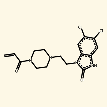 C=CC(=O)N1CCN(CCn2c(=O)[nH]c3cc(Cl)c(Cl)cc32)CC1